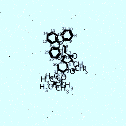 CO[C@H]1[C@H](C2(C)O[C@@H]2CC[PH](c2ccccc2)(c2ccccc2)c2ccccc2)[C@]2(CC[C@H]1O[Si](C)(C)C(C)(C)C)CO2